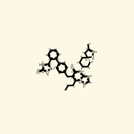 CCCc1c(Cc2ccc(-c3ccccc3-c3noc(=O)[nH]3)cc2)c(=O)n([C@H]2CC[C@]3(CC2)CC(C)=NO3)c2ncnn12